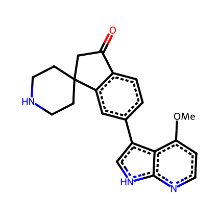 COc1ccnc2[nH]cc(-c3ccc4c(c3)C3(CCNCC3)CC4=O)c12